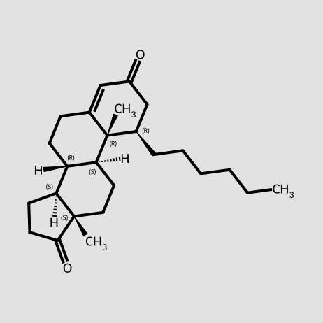 CCCCCC[C@@H]1CC(=O)C=C2CC[C@@H]3[C@H](CC[C@]4(C)C(=O)CC[C@@H]34)[C@]21C